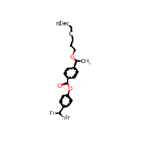 CCCCCCCCCCCCCCCOC(C)c1ccc(C(=O)Oc2ccc(C(CC)CCC)cc2)cc1